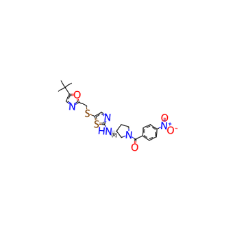 CC(C)(C)c1cnc(CSc2cnc(N[C@@H]3CCN(C(=O)c4ccc([N+](=O)[O-])cc4)C3)s2)o1